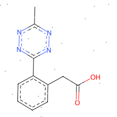 Cc1nnc(-c2ccccc2CC(=O)O)nn1